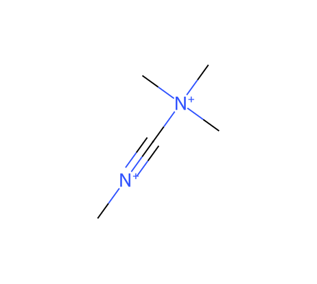 C[N+]#C[N+](C)(C)C